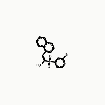 CC(=Cc1cccc2ccccc12)S(=O)(=O)c1ccnc(Br)c1